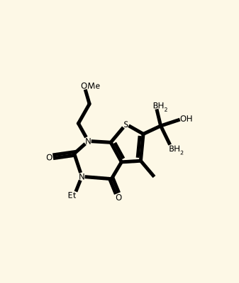 BC(B)(O)c1sc2c(c1C)c(=O)n(CC)c(=O)n2CCOC